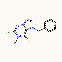 CCn1c(Cl)nc2ncn(Cc3ccccc3)c2c1=O